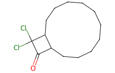 O=C1C2CCCCCCCCCCC2C1(Cl)Cl